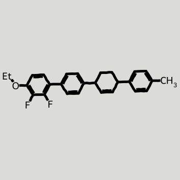 CCOc1ccc(-c2ccc(C3C=CC(c4ccc(C)cc4)CC3)cc2)c(F)c1F